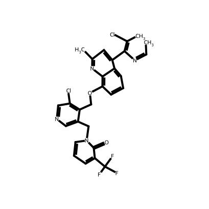 C/C=N\C(=C(/C)Cl)c1cc(C)nc2c(OCc3c(Cl)cncc3Cn3cccc(C(F)(F)F)c3=O)cccc12